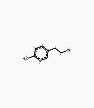 Cc1ccc(CCO)cn1